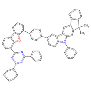 CC1(C)c2ccccc2-c2cc3c4cc(-c5ccc(-c6cccc7c6oc6c(-c8nc(-c9ccccc9)nc(-c9ccccc9)n8)cccc67)cc5)ccc4n(-c4ccccc4)c3cc21